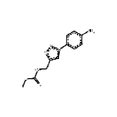 COC(=S)NCc1cn(-c2ccc(N)cc2)nn1